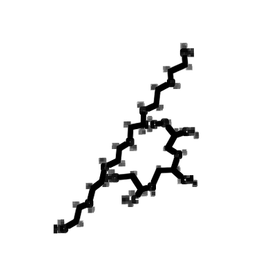 COC(C)COC(C)COC(C)CO.OCCOCCOCCOCCOCCOCCO